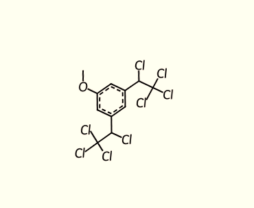 COc1cc(C(Cl)C(Cl)(Cl)Cl)cc(C(Cl)C(Cl)(Cl)Cl)c1